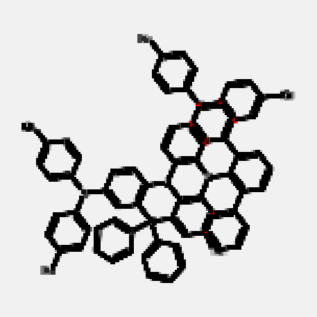 CC(C)(C)c1ccc(N(c2ccc(C(C)(C)C)cc2)c2ccc3c(c2)N(c2c(-c4ccccc4)cccc2-c2ccccc2)c2cc(C(C)(C)C)cc4c2B3c2ccc(N(c3ccc(C(C)(C)C)cc3)c3ccc(C(C)(C)C)cc3)cc2[Si]4(c2ccccc2)c2ccccc2)cc1